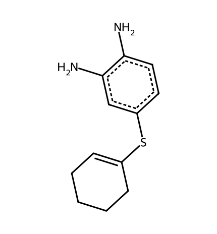 Nc1ccc(SC2=CCCCC2)cc1N